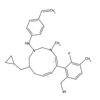 C=Cc1ccc(NN2CC(CC3CC3)C/C=C\C(c3c(CC(C)C)ccc(C)c3F)=C/N(C)C2)cc1